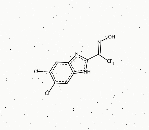 ON=C(c1nc2cc(Cl)c(Cl)cc2[nH]1)C(F)(F)F